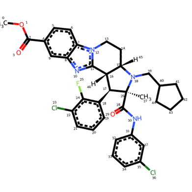 COC(=O)c1ccc2c(c1)nc1n2CC[C@H]2[C@@H]1[C@H](c1cccc(Cl)c1F)[C@](C)(C(=O)Nc1cccc(Cl)c1)N2CC1CCCC1